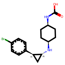 O=C(O)N[C@H]1CC[C@@H](N[C@@H]2C[C@H]2c2ccc(Br)cc2)CC1